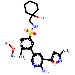 CCOCC.Cc1cc(-c2cc(-c3cc(S(=O)(=O)NCC4(O)CCCCC4)ccc3C)cnc2N)on1